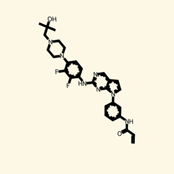 C=CC(=O)Nc1cccc(-n2ccc3cnc(Nc4ccc(N5CCN(CC(C)(C)O)CC5)c(F)c4F)nc32)c1